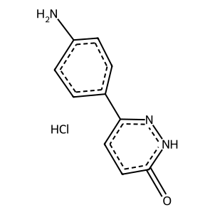 Cl.Nc1ccc(-c2ccc(=O)[nH]n2)cc1